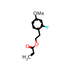 C=CC(=O)OCCc1ccc(OC)cc1F